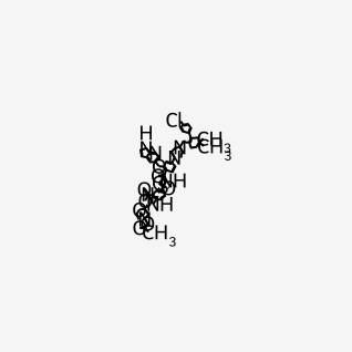 CC(=O)ON1CCOC(CNc2ccc(S(=O)(=O)NC(=O)c3ccc(N4CCN(CC5=C(c6ccc(Cl)cc6)CC(C)(C)CC5)CC4)cc3Oc3cnc4[nH]ccc4c3)cc2[N+](=O)[O-])C1